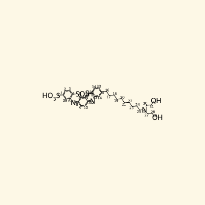 O=S(=O)(O)c1ccc(S(=O)(=O)O)c(N=c2ccc3nc4cc(CCCCCCCCCCN(CCO)CCO)ccc4sc-3c2)c1